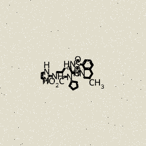 CC1CNc2c(cccc2S(=O)(=O)N[C@@H](CCCNc2ncc[nH]2)C(=O)N(CC(=O)O)C2CCCC2)C1